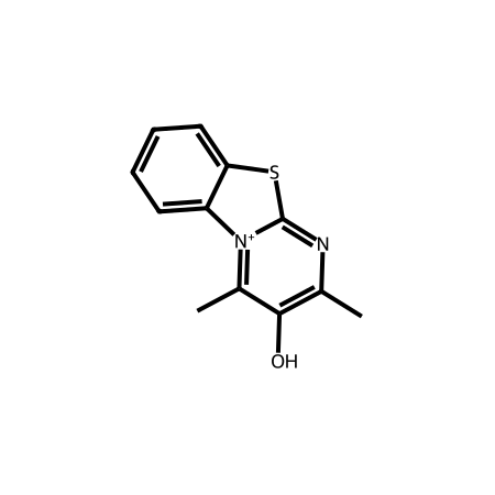 Cc1nc2sc3ccccc3[n+]2c(C)c1O